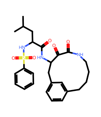 CC(C)CC(NS(=O)(=O)c1ccccc1)C(=O)NC1Cc2cccc(c2)CCCCNC(=O)C1=O